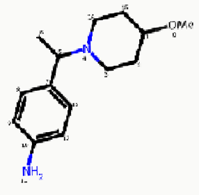 COC1CCN(C(C)c2ccc(N)cc2)CC1